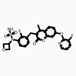 Cc1c(Cc2cccc(N(C3COC3)S(N)(=O)=O)c2F)c(=O)oc2cc(Oc3ncccc3F)ccc12